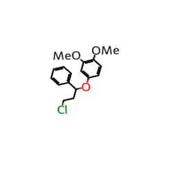 COc1ccc(OC(CCCl)c2ccccc2)cc1OC